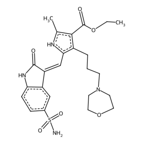 CCOC(=O)c1c(C)[nH]c(/C=C2\C(=O)Nc3ccc(S(N)(=O)=O)cc32)c1CCCN1CCOCC1